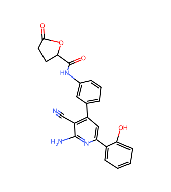 N#Cc1c(-c2cccc(NC(=O)C3CCC(=O)O3)c2)cc(-c2ccccc2O)nc1N